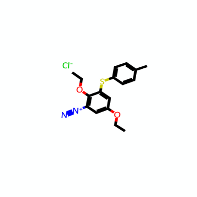 CCOc1cc([N+]#N)c(OCC)c(Sc2ccc(C)cc2)c1.[Cl-]